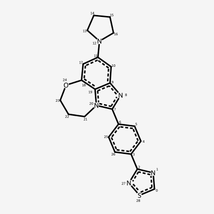 c1nc(-c2ccc(-c3nc4cc(N5CCCC5)cc5c4n3CCCO5)cc2)ns1